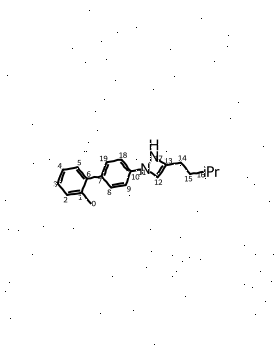 Cc1ccccc1-c1ccc(-n2cc(CCC(C)C)[nH]2)cc1